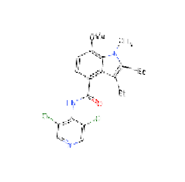 CCc1c(CC)n(C)c2c(OC)ccc(C(=O)Nc3c(Cl)cncc3Cl)c12